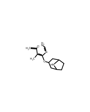 C=C(Cl)/C(C)=C(\N=C/N)OC1CC2CCC(C1)N2